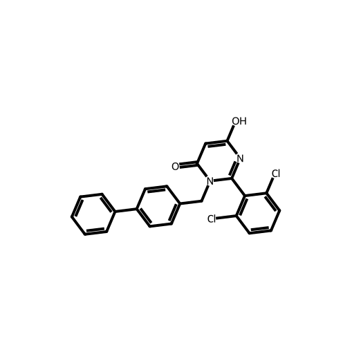 O=c1cc(O)nc(-c2c(Cl)cccc2Cl)n1Cc1ccc(-c2ccccc2)cc1